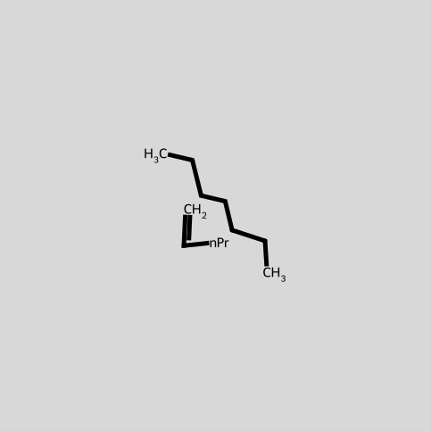 C=CCCC.CCCCCCC